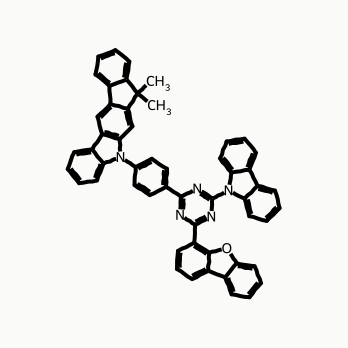 CC1(C)c2ccccc2-c2cc3c4ccccc4n(-c4ccc(-c5nc(-c6cccc7c6oc6ccccc67)nc(-n6c7ccccc7c7ccccc76)n5)cc4)c3cc21